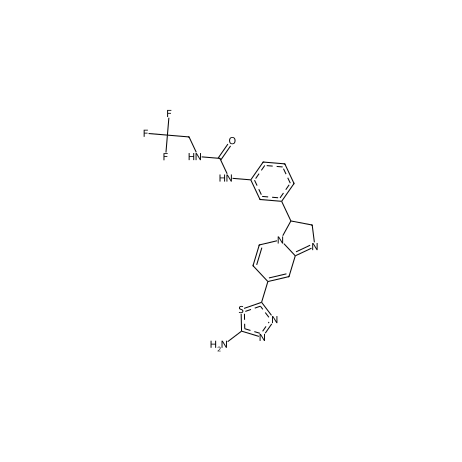 Nc1nnc(C2=CC3=NCC(c4cccc(NC(=O)NCC(F)(F)F)c4)N3C=C2)s1